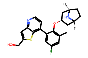 Cc1cc(Cl)cc(-c2ccnc3cc(CO)sc23)c1O[C@@H]1C[C@H]2CC[C@@H](C1)N2